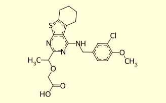 COc1ccc(CNc2nc(C(C)OCC(=O)O)nc3sc4c(c23)CCCC4)cc1Cl